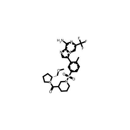 COC[C@H]1CCCN1C(=O)C1CCCN(S(=O)(=O)c2ccc(C)c(-c3cnc4c(N)nc(C(F)(F)F)cn34)c2)C1